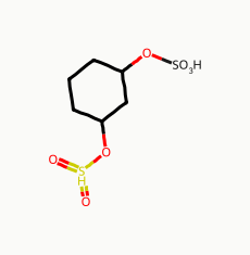 O=[SH](=O)OC1CCCC(OS(=O)(=O)O)C1